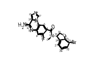 CN(C(=O)c1cc2c(cc1F)nc(N)c1cncn12)[C@@H]1COc2c(Br)cccc21